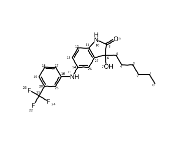 CCCCCCC1(O)C(=O)Nc2ccc(Nc3cccc(C(F)(F)F)c3)cc21